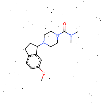 COc1ccc2c(c1)C(N1CCN(C(=O)N(C)C)CC1)CC2